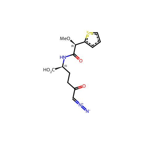 CO[C@H](C(=O)N[C@@H](CCC(=O)C=[N+]=[N-])C(=O)O)c1cccs1